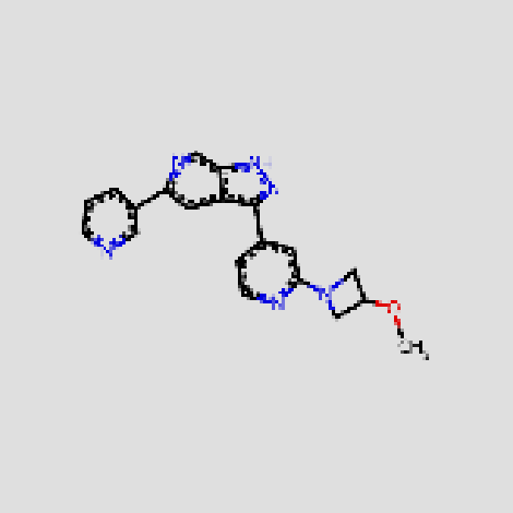 COC1CN(c2cc(-c3n[nH]c4cnc(-c5cccnc5)cc34)ccn2)C1